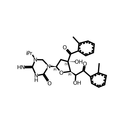 Cc1ccccc1C(=O)C(O)[C@H]1O[C@@H](N2CN(C(C)C)C(=N)NC2=O)C[C@@]1(O)C(=O)c1ccccc1C